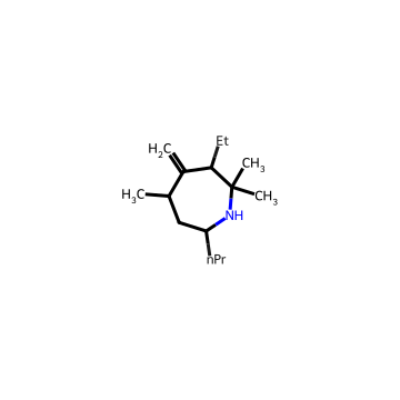 C=C1C(C)CC(CCC)NC(C)(C)C1CC